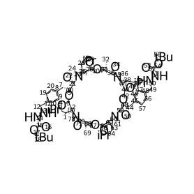 CC(C)C[C@H]1C(=O)O[C@H](Cc2ccc(CNNC(=O)OC(C)(C)C)cc2)C(=O)N(C)[C@@H](CC(C)C)C(=O)O[C@H](C)C(=O)N(C)[C@@H](CC(C)C)C(=O)O[C@H](Cc2ccc(CNNC(=O)OC(C)(C)C)cc2)C(=O)N(C)[C@@H](CC(C)C)C(=O)O[C@H](C)C(=O)N1C